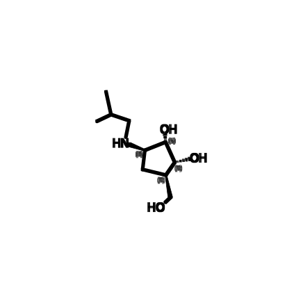 CC(C)CN[C@@H]1C[C@H](CO)[C@@H](O)[C@H]1O